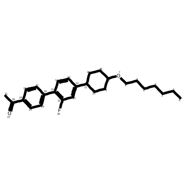 CCCCCCCOC1CCC(c2ccc(-c3ccc(C(C)=O)cc3)c(F)c2)CC1